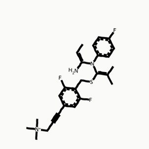 C/C=C(/N)N(C(SCc1c(F)cc(C#CC[N+](C)(C)C)cc1F)=C(C)C)c1ccc(F)cc1